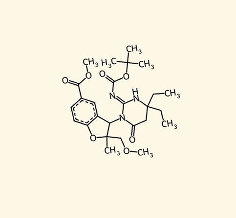 CCC1(CC)CC(=O)N(C2c3cc(C(=O)OC)ccc3OC2(C)COC)C(=NC(=O)OC(C)(C)C)N1